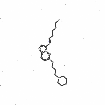 CCCCC/C=C/c1cnc2ccc(NCCCN3CCOCC3)nn12